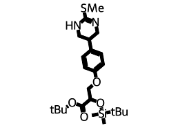 CSC1=NCC(c2ccc(OCC(O[Si](C)(C)C(C)(C)C)C(=O)OC(C)(C)C)cc2)CN1